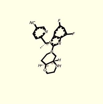 C[C@H](c1ccc(C#N)cn1)n1c(N2CC[C@@H]3OCCN[C@H]3C2)nc2c(F)cc(F)cc21